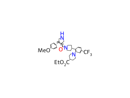 CCOC(=O)C1CCN(c2cc(C(F)(F)F)ccc2C2CCN(C(=O)[C@@H]3CNC[C@H]3c3ccc(OC)cc3)CC2)CC1